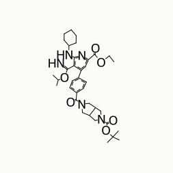 CCOC(=O)c1cc(-c2ccc(C(=O)N3CC4CN(C(=O)OC(C)(C)C)CC4C3)cc2)c(C(=N)OC(C)C)c(NC2CCCCC2)n1